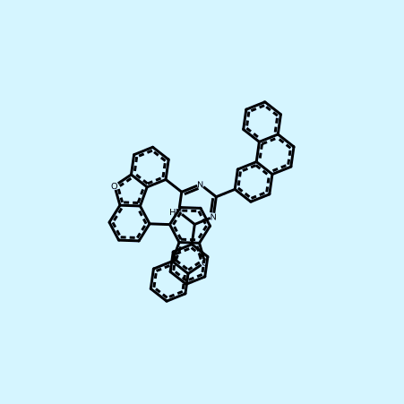 c1ccc(C2N=C(c3ccc4ccc5ccccc5c4c3)N=C(c3cccc4oc5cccc(-c6cccc7oc8ccccc8c67)c5c34)N2)cc1